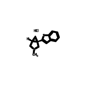 CN1C[C@@H]2C[C@]2(c2cc3ccccc3s2)C1.Cl